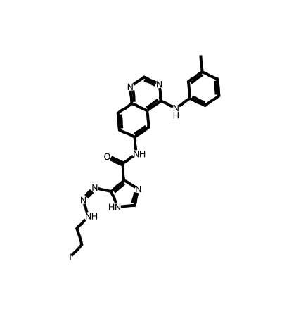 Cc1cccc(Nc2ncnc3ccc(NC(=O)c4nc[nH]c4/N=N\NCCI)cc23)c1